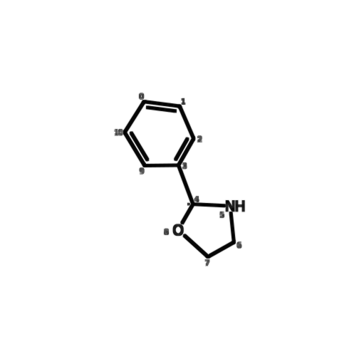 c1ccc([C]2NCCO2)cc1